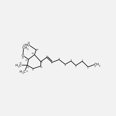 CCCCCCCC=CC1CCC(C)(C)C(OC)C1CO